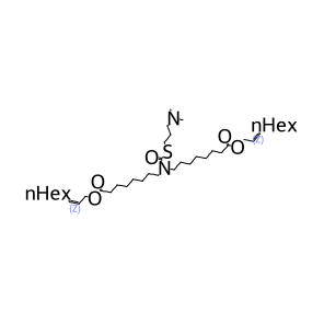 CCCCCC/C=C\COC(=O)CCCCCCCN(CCCCCCCC(=O)OC/C=C\CCCCCC)C(=O)SCCCN(C)C